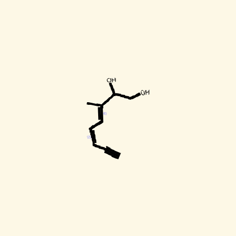 C#C/C=C\C=C(/C)C(O)CO